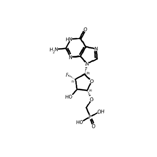 Nc1nc2c(ncn2[C@@H]2O[C@H](OCP(=O)(O)O)C(O)[C@@H]2F)c(=O)[nH]1